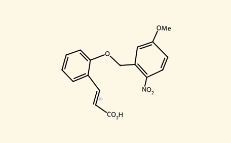 COc1ccc([N+](=O)[O-])c(COc2ccccc2/C=C/C(=O)O)c1